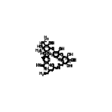 CN[C@@H]1[C@@H](O)[C@@H](O[C@H]2[C@H](NC(=O)C3(O)CC3NC(=N)N)C[C@H](N)C(O[C@H]3O[C@H](CNCC(O)CCCN)[C@@H](O)[C@H](O)[C@H]3O)[C@@H]2O)OC[C@]1(C)O